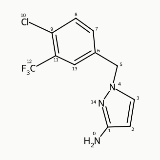 Nc1ccn(Cc2ccc(Cl)c(C(F)(F)F)c2)n1